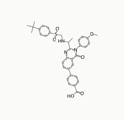 COc1ccc(-n2c(C(C)NCS(=O)(=O)c3ccc(C(C)(C)C)cc3)nc3ccc(-c4ccc(C(=O)O)cc4)cc3c2=O)cc1